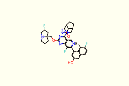 CCc1c(F)ccc2cc(O)cc(-c3ncc4c(N5CC6CCC(C5)C6C(N)=O)nc(OC[C@@]56CCCN5C[C@H](F)C6)nc4c3F)c12